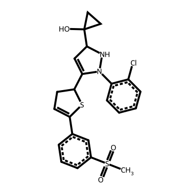 CS(=O)(=O)c1cccc(C2=CCC(C3=CC(C4(O)CC4)NN3c3ccccc3Cl)S2)c1